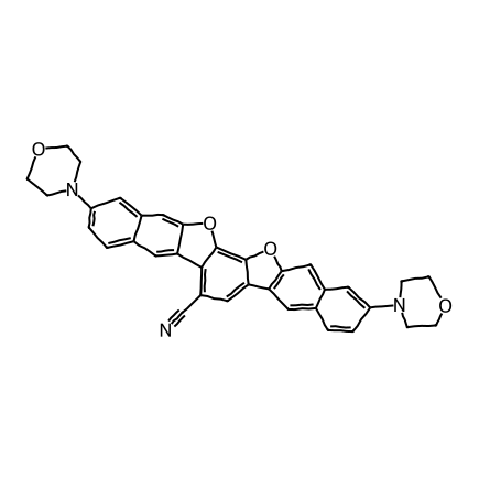 N#Cc1cc2c3cc4ccc(N5CCOCC5)cc4cc3oc2c2oc3cc4cc(N5CCOCC5)ccc4cc3c12